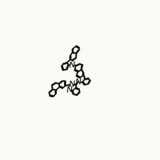 c1ccc2cc3c(cc2c1)c1ccccc1n3-c1ccc2cc3c4ccccc4n(-c4nc(-c5ccc6ccc7ccccc7c6c5)nc5ccccc45)c3cc2c1